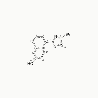 CC(C)c1nc(-c2cccc3cc(O)ccc23)cs1